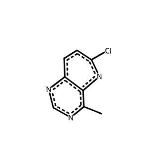 Cc1ncnc2ccc(Cl)nc12